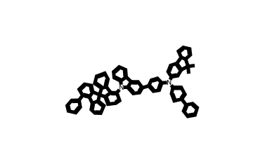 CC1(C)c2cc(N(c3ccc(-c4ccccc4)cc3)c3ccc(-c4ccc5c(c4)c4ccccc4n5-c4cccc5c4-c4ccccc4C54c5ccccc5-c5c(-c6ccccc6)cccc54)cc3)ccc2C2C=CC=CC21